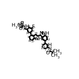 CC(C)C(=O)Nc1cncc(-c2ccc3[nH]nc(-c4cc5c(-c6cc(F)cc(CNS(C)(=O)=O)c6)cccc5[nH]4)c3c2)c1